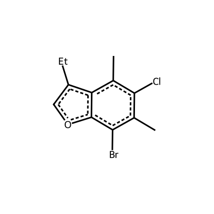 CCc1coc2c(Br)c(C)c(Cl)c(C)c12